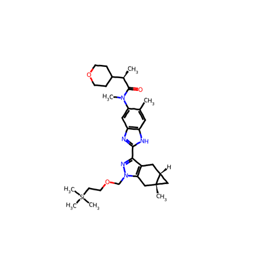 Cc1cc2[nH]c(-c3nn(COCC[Si](C)(C)C)c4c3C[C@@H]3C[C@]3(C)C4)nc2cc1N(C)C(=O)[C@H](C)C1CCOCC1